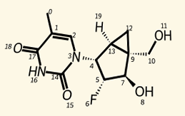 Cc1cn([C@H]2[C@@H](F)[C@H](O)[C@]3(CO)C[C@H]23)c(=O)[nH]c1=O